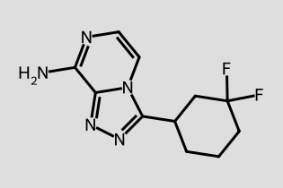 Nc1nccn2c(C3CCCC(F)(F)C3)nnc12